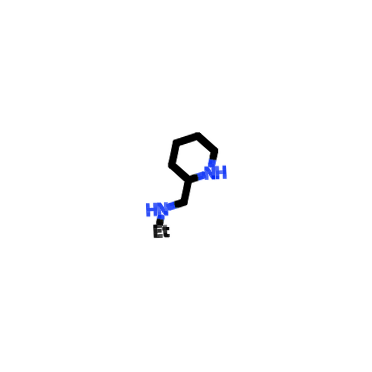 CCNCC1CCCCN1